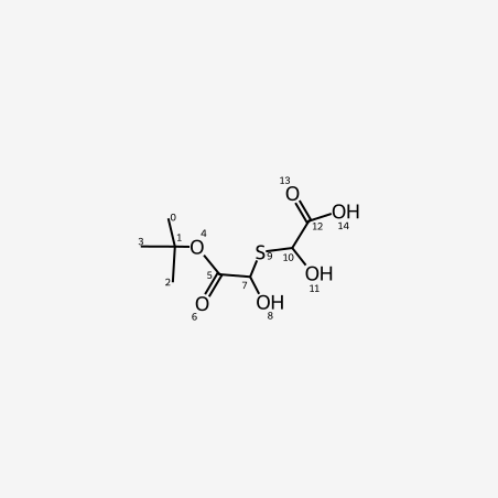 CC(C)(C)OC(=O)C(O)SC(O)C(=O)O